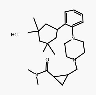 CN(C)C(=O)C1CC1CN1CCN(c2ccccc2C2CC(C)(C)CC(C)(C)C2)CC1.Cl